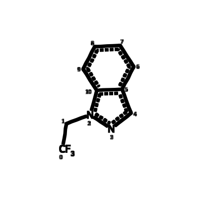 FC(F)(F)Cn1ncc2ccccc21